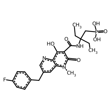 CCC(CC)(CP(=O)(O)O)NC(=O)c1c(O)c2ncc(Cc3ccc(F)cc3)cc2n(C)c1=O